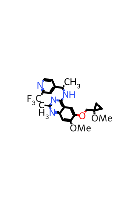 COc1cc2nc(C)nc(N[C@H](C)c3ccnc(C(F)(F)F)c3)c2cc1OCC1(OC)CC1